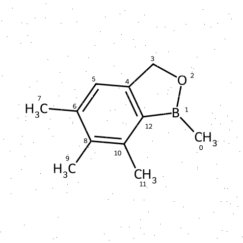 CB1OCc2cc(C)c(C)c(C)c21